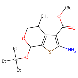 CC[Si](CC)(CC)OC1OCC(C)c2c1sc(N)c2C(=O)OC(C)(C)C